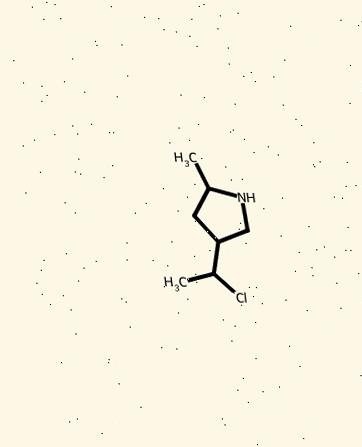 CC1CC(C(C)Cl)CN1